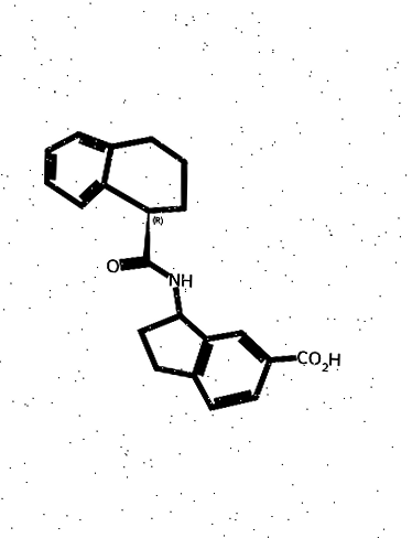 O=C(O)c1ccc2c(c1)C(NC(=O)[C@@H]1CCCc3ccccc31)CC2